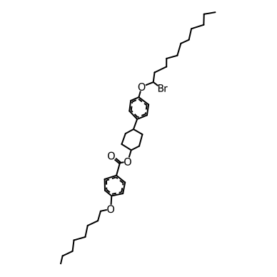 CCCCCCCCCCC(Br)Oc1ccc(C2CCC(OC(=O)c3ccc(OCCCCCCCC)cc3)CC2)cc1